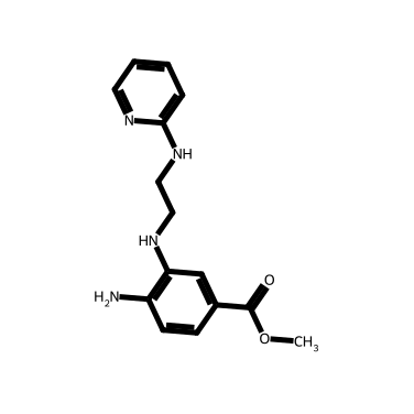 COC(=O)c1ccc(N)c(NCCNc2ccccn2)c1